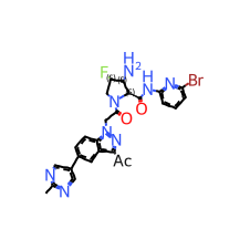 CC(=O)c1nn(CC(=O)N2C[C@H](F)[C@@H](N)[C@H]2C(=O)Nc2cccc(Br)n2)c2ccc(-c3cnc(C)nc3)cc12